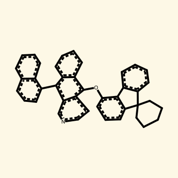 c1ccc2c(c1)-c1c(Oc3c4ccccc4c(-c4cccc5ccccc45)c4cnccc34)cccc1C21CCCCC1